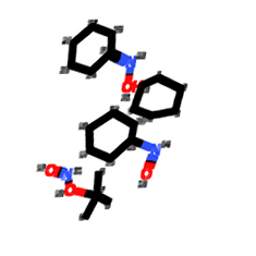 C1CCCCC1.CC(C)(C)ON=O.O=NC1CCCCC1.ON=C1CCCCC1